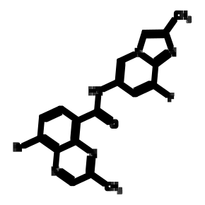 Cc1cnc2c(Br)ccc(C(=O)Nc3cc(F)c4nc(C)cn4c3)c2n1